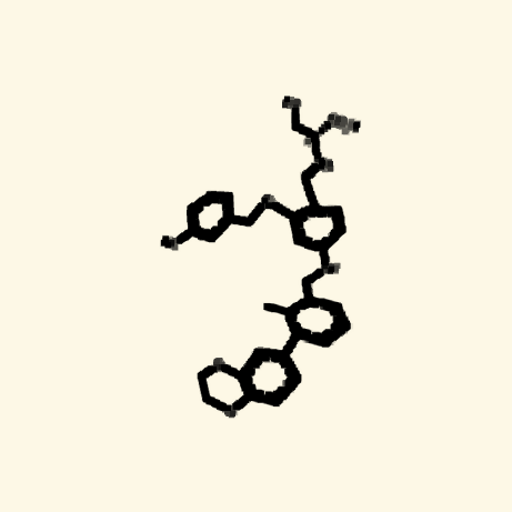 Cc1c(CNc2ccc(CN[C@H](CO)C(=O)O)c(OCc3cccc(C#N)c3)c2)cccc1-c1ccc2c(c1)OCCO2